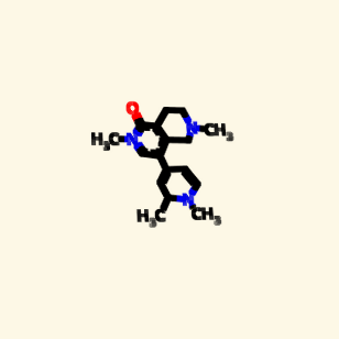 CC1C=C(c2cn(C)c(=O)c3c2CN(C)CC3)C=CN1C